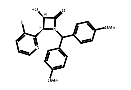 COc1ccc(C(c2ccc(OC)cc2)N2C(=O)[C@H](O)[C@@H]2c2ncccc2F)cc1